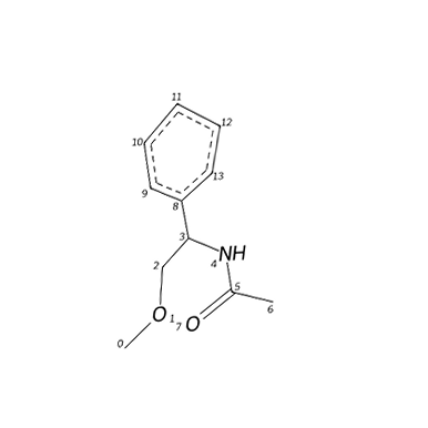 COCC(NC(C)=O)c1ccccc1